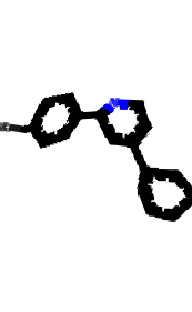 N#Cc1ccc(-c2cc(-c3ccccc3)ccn2)cc1